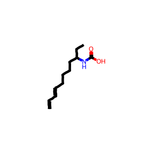 C=CC=CCCCCC(CC)NC(=O)O